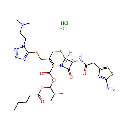 CCCCC(=O)OC(OC(=O)C1=C(CSc2nnnn2CCN(C)C)CS[C@H]2[C@H](NC(=O)Cc3csc(N)n3)C(=O)N12)C(C)C.Cl.Cl